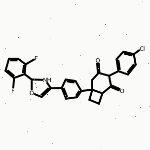 O=C1CC2(c3ccc(C4=COC(c5c(F)cccc5F)N4)cc3)CCC2C(=O)C1c1ccc(Cl)cc1